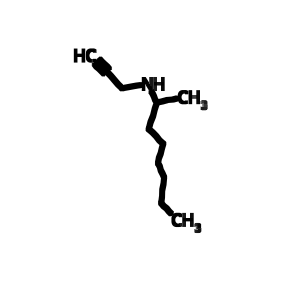 C#CCNC(C)CCCCCC